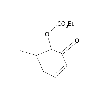 CCOC(=O)OC1C(=O)C=CCC1C